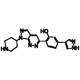 Oc1cc(-c2cn[nH]c2)ccc1-c1cc2cnn(C3CCNCC3)c2nn1